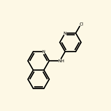 Clc1ccc(Nc2nccc3ccccc23)cn1